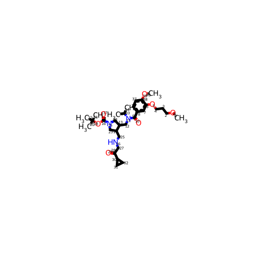 COCCCOc1cc(C(=O)N(CC2CN(C(=O)OC(C)(C)C)CC2CNCC(=O)C2CC2)C(C)C)ccc1OC